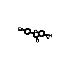 CCc1ccc(-c2cc(=O)c3cc(PC)ccc3o2)cc1